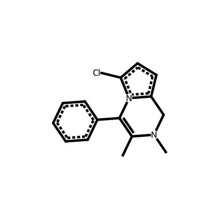 CC1=C(c2ccccc2)n2c(Cl)ccc2CN1C